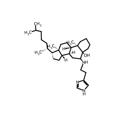 CC(C)CCC[C@@H](C)[C@H]1CC[C@H]2[C@@H]3CC(NCCc4c[nH]cn4)[C@@]4(O)CCCC[C@]4(C)[C@H]3CC[C@]12C